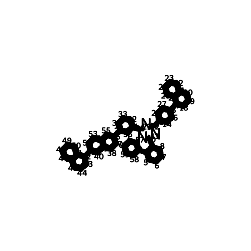 c1ccc(-c2ccccc2-c2nc(-c3ccc(-c4cccc5ccccc45)cc3)nc(-c3cccc(-c4ccc5cc(-c6cccc7ccccc67)ccc5c4)c3)n2)cc1